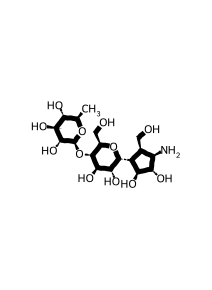 C[C@H]1O[C@@H](O[C@H]2[C@H](O)[C@@H](O)[C@@H](C3[C@@H](CO)[C@@H](N)[C@H](O)[C@H]3O)O[C@@H]2CO)[C@H](O)[C@@H](O)[C@@H]1O